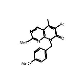 COc1ccc(Cn2c(=O)c(C(C)=O)c(C)c3cnc(SC)nc32)cc1